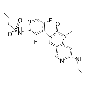 CCCS(=O)(=O)Nc1ncc(F)c(-c2cc3cnc(NCC)cc3n(C)c2=O)c1F